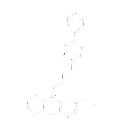 CSc1ccc2c(c1)N(CCCCN1CCC(c3ccccc3)CC1)c1ccccc1S2